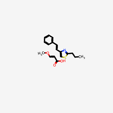 CCCc1nc(C=Cc2ccccc2)cs1.COC=CC(=O)O